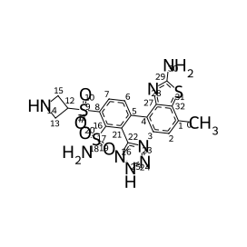 Cc1ccc(-c2ccc(S(=O)(=O)C3CNC3)c(S(N)(=O)=O)c2-c2nn[nH]n2)c2nc(N)sc12